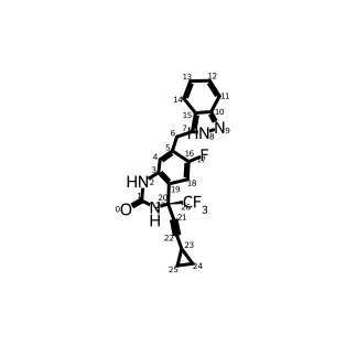 O=C1Nc2cc(Cc3[nH]nc4ccccc34)c(F)cc2[C@@](C#CC2CC2)(C(F)(F)F)N1